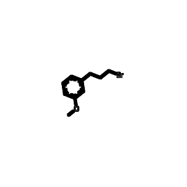 COc1cccc(CCCBr)c1